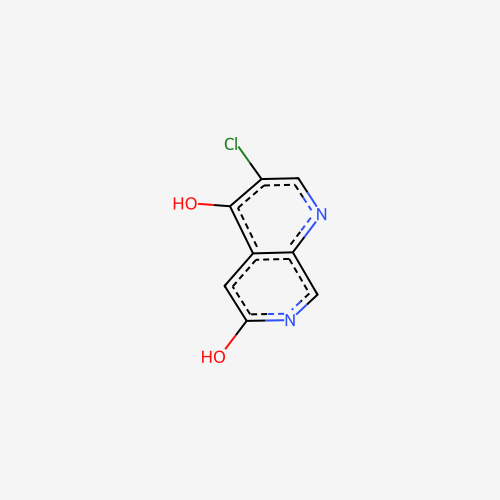 Oc1cc2c(O)c(Cl)cnc2cn1